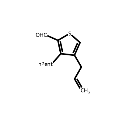 C=CCc1csc(C=O)c1CCCCC